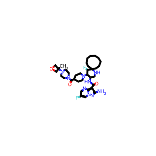 CC1(N2CCN(C(=O)C3CCN(C4C(NC(=O)c5c(N)nn6cc(F)cnc56)CNC5(CCCCCCCCC5)C4F)CC3)CC2)COC1